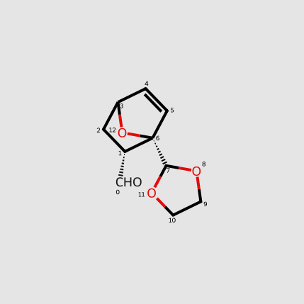 O=C[C@@H]1CC2C=C[C@]1(C1OCCO1)O2